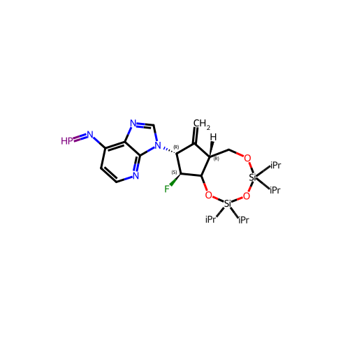 C=C1[C@@H](n2cnc3c(N=P)ccnc32)[C@H](F)C2O[Si](C(C)C)(C(C)C)O[Si](C(C)C)(C(C)C)OC[C@@H]12